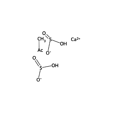 CC(C)=O.O=S([O-])O.O=S([O-])O.[Ca+2]